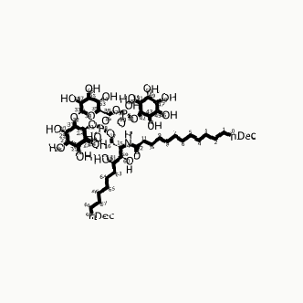 CCCCCCCCCCCCCCCCCCCCCC(=O)N[C@@H](COP(=O)(O)O[C@H]1C(O)C(O)C(O)[C@@H](O)C1O[C@H]1O[C@H](COP(=O)(O)OC2C(O)C(O)C(O)[C@@H](O)C2O)[C@@H](O)C(O)C1O)[C@H](O)[C@H](O)CCCCCCCCCCCCCCCC